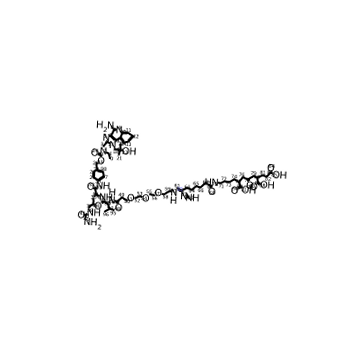 CCN(Cc1nc2c(N)nc3ccccc3c2n1CC(C)(C)O)C(=O)OCc1ccc(NC(=O)[C@@H](CCCNC(N)=O)NC(=O)[C@@H](NC(=O)CCOCCOCCOCCN/C=C(/CCCCCC(=O)NCCCCC(CC(=O)CC(CCC(=O)O)C(=O)O)C(=O)O)N=N)C(C)C)cc1